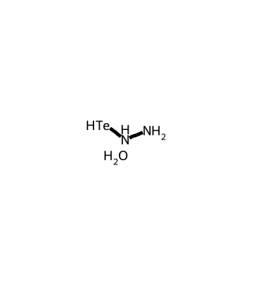 NN[TeH].O